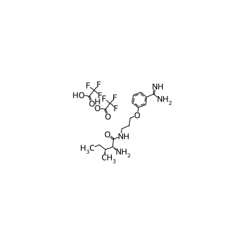 CC[C@H](C)[C@H](N)C(=O)NCCCOc1cccc(C(=N)N)c1.O=C(O)C(F)(F)F.O=C(O)C(F)(F)F